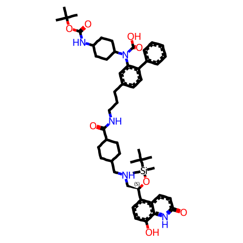 CC(C)(C)OC(=O)NC1CCC(N(C(=O)O)c2cc(CCCNC(=O)C3CCC(CNC[C@@H](O[Si](C)(C)C(C)(C)C)c4ccc(O)c5[nH]c(=O)ccc45)CC3)ccc2-c2ccccc2)CC1